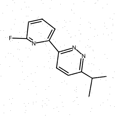 CC(C)c1ccc(-c2cccc(F)n2)nn1